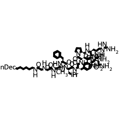 CCCCCCCCCCCCCCCCNC(=O)CNCC(=O)NC(C)(C)C(=O)N[C@@H](Cc1ccccc1)C(=O)N[C@@H](CC(C)C)C(=O)N[C@@H](Cc1ccccc1)C(=O)N[C@@H](CCCNC(=N)N)C(=O)N1CCC[C@H]1C(=O)N[C@@H](CCCNC(=N)N)C(=O)N[C@@H](CC(N)=O)C(N)=O